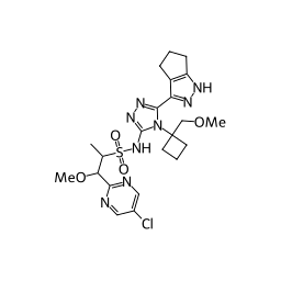 COCC1(n2c(NS(=O)(=O)C(C)C(OC)c3ncc(Cl)cn3)nnc2-c2n[nH]c3c2CCC3)CCC1